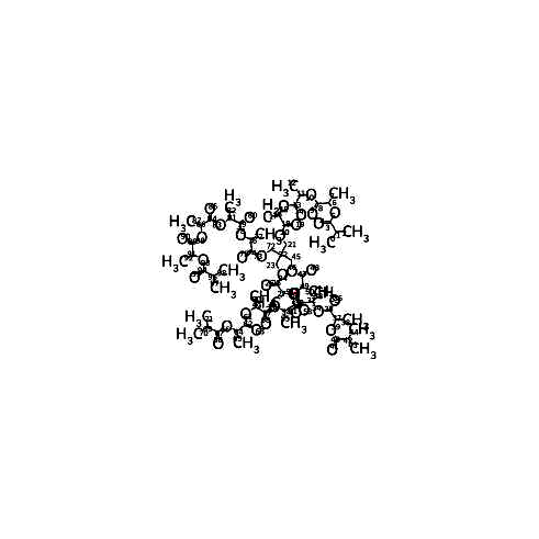 CC(C)C(=O)OC(C)C(=O)OC(C)C(=O)OC(C)C(=O)OCC(COC(=O)C(C)OC(=O)C(C)OC(=O)C(C)OC(=O)C(C)C)(COC(=O)C(C)OC(=O)C(C)OC(=O)C(C)OC(=O)C(C)OC(=O)C(C)C)COC(=O)C(C)OC(=O)C(C)OC(=O)C(C)OC(=O)C(C)OC(=O)C(C)C